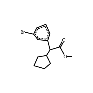 COC(=O)C(c1cccc(Br)c1)C1CCCC1